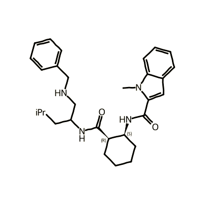 CC(C)CC(CNCc1ccccc1)NC(=O)[C@@H]1CCCC[C@@H]1NC(=O)c1cc2ccccc2n1C